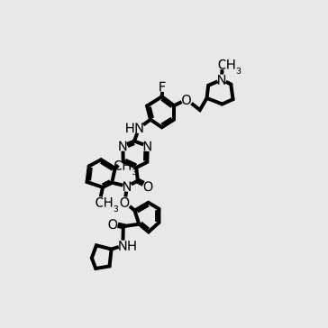 Cc1cccc(C)c1N(Oc1ccccc1C(=O)NC1CCCC1)C(=O)c1cnc(Nc2ccc(OCC3CCCN(C)C3)c(F)c2)nc1